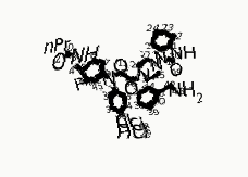 CCCC(=O)NCc1ccc(N(C(=O)CN2CCN(n3c(=O)[nH]c4ccccc43)CC2)c2ccc(Cl)cc2Oc2cccc(CN)c2)cc1F.Cl.Cl